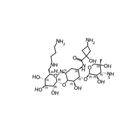 CN[C@@H]1[C@@H](O)[C@@H](O[C@H]2[C@H](NC(=O)C3(O)CC(N)C3)C[C@H](N)C(O[C@H]3O[C@H](CNCCCN)[C@@H](O)[C@H](O)[C@H]3O)[C@@H]2O)OC[C@]1(C)O